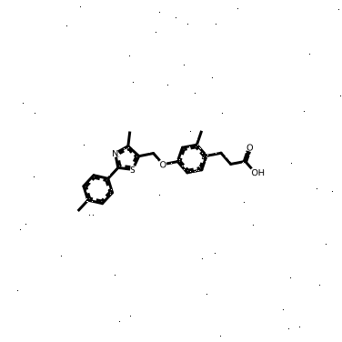 Cc1ccc(-c2nc(C)c(COc3ccc(CCC(=O)O)c(C)c3)s2)cc1